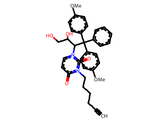 C#CCCCCn1c(=O)ccn(C(C(O)CO)C(c2ccccc2)(c2ccc(OC)cc2)c2ccc(OC)cc2)c1=O